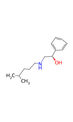 [CH2]C(C)CCCNC[C@H](O)c1ccccc1